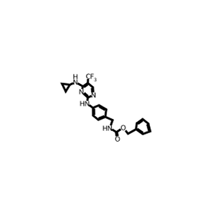 O=C(NCc1ccc(Nc2ncc(C(F)(F)F)c(NC3CC3)n2)cc1)OCc1ccccc1